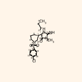 CCCC[C@]1([C@@H]2CCCN(S(=O)(=O)c3ccc(Cl)cc3)C2)NC(=N)N(C)C1=O